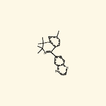 Cc1ccc2c(c1)C(C)(C)C(C)(C)N=C2c1ccc2nccnc2c1